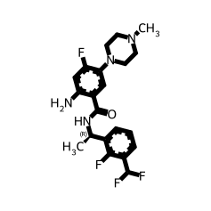 C[C@@H](NC(=O)c1cc(N2CCN(C)CC2)c(F)cc1N)c1cccc(C(F)F)c1F